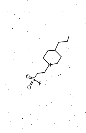 CCCC1CCN(CCS(=O)(=O)F)CC1